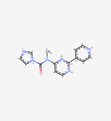 CN(C(=O)n1ccnc1)c1ccnc(-c2ccncc2)n1